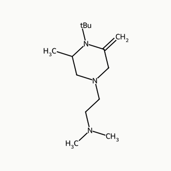 C=C1CN(CCN(C)C)CC(C)N1C(C)(C)C